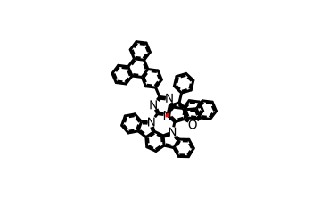 c1ccc(-c2nc(-c3ccc4c5ccccc5c5ccccc5c4c3)nc(-n3c4ccccc4c4ccc5c6ccccc6n(-c6ccc(-c7ccccc7)c7c6oc6ccccc67)c5c43)n2)cc1